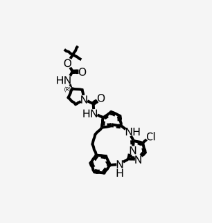 CC(C)(C)OC(=O)N[C@@H]1CCN(C(=O)Nc2ccc3cc2CCc2cccc(c2)Nc2ncc(Cl)c(n2)N3)C1